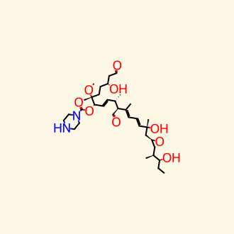 CC[C@H](O)[C@@H](C)[C@H]1O[C@@H]1C[C@@](C)(O)/C=C/C=C(\C)[C@@H](C=O)[C@@H](C)/C=C/[C@H](OC(=O)N1CCNCC1)[C@@](C)(CC[C@@H](O)CC=O)OC